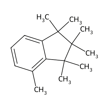 Cc1cccc2c1C(C)(C)C(C)(C)C2(C)C